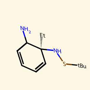 CC[C@]1(NSC(C)(C)C)C=CC=CC1N